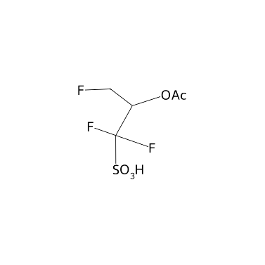 CC(=O)OC(CF)C(F)(F)S(=O)(=O)O